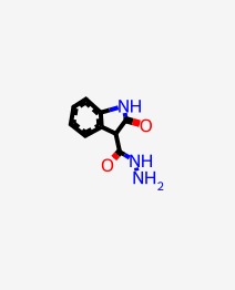 NNC(=O)C1C(=O)Nc2ccccc21